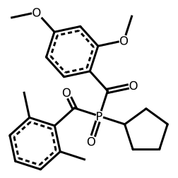 COc1ccc(C(=O)P(=O)(C(=O)c2c(C)cccc2C)C2CCCC2)c(OC)c1